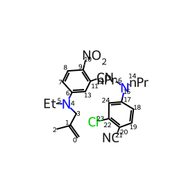 C=C(C)CN(CC)c1ccc([N+](=O)[O-])c(C#N)c1.CCCN(CCC)c1ccc(C#N)c(Cl)c1